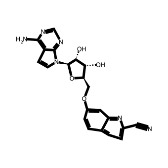 N#Cc1ccc2ccc(OC[C@H]3O[C@@H](n4ccc5c(N)ncnc54)[C@H](O)[C@@H]3O)cc2n1